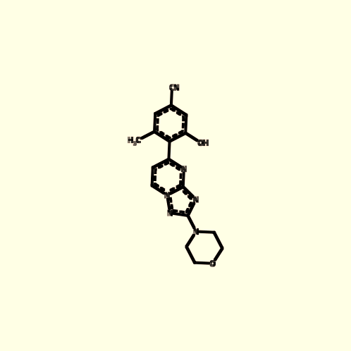 Cc1cc(C#N)cc(O)c1-c1ccn2nc(N3CCOCC3)nc2n1